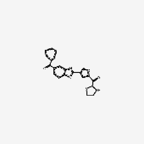 O=C(c1ccccc1)c1ccc2[nH]c(-c3coc(C(=O)C4NCCS4)c3)nc2c1